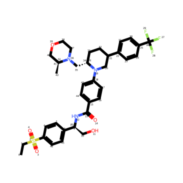 CCS(=O)(=O)c1ccc([C@H](CO)NC(=O)c2ccc(N3CC(c4ccc(C(F)(F)F)cc4)CC[C@H]3CN3CCOC[C@@H]3C)cc2)cc1